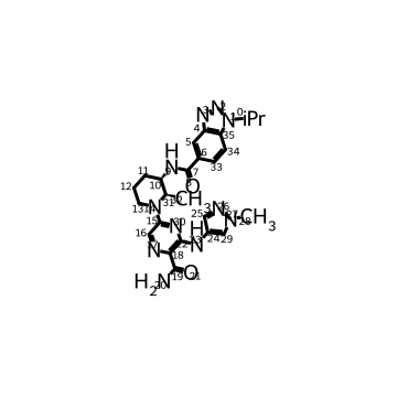 CC(C)n1nnc2cc(C(=O)N[C@@H]3CCCN(c4cnc(C(N)=O)c(Nc5cnn(C)c5)n4)[C@@H]3C)ccc21